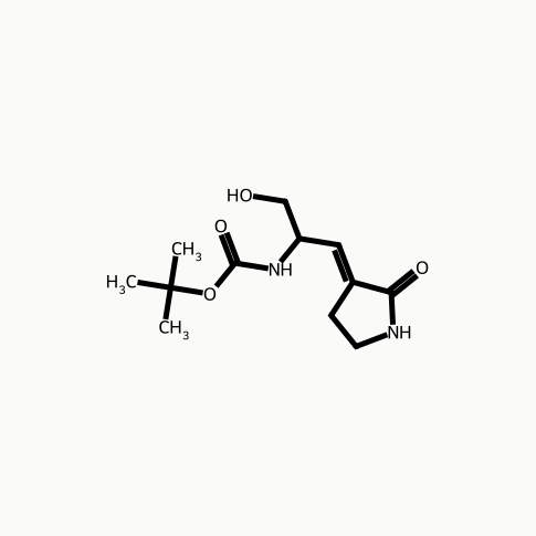 CC(C)(C)OC(=O)NC(/C=C1\CCNC1=O)CO